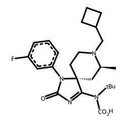 C[C@H]1C[C@]2(CCN1CC1CCC1)C(N(C(=O)O)C(C)(C)C)=NC(=O)N2c1cccc(F)c1